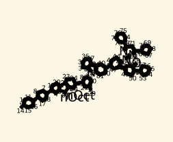 CCCCCCCCC1(CCCCCCCC)c2cc(-c3ccc(-c4ccc(C)cc4)cc3)ccc2-c2ccc(-c3cc(C)cc(-n4c5ccccc5c5cc(-c6ccc7c(c6)c6ccc8c9ccccc9oc8c6n7-c6nc(-c7ccccc7)cc(-c7ccccc7)n6)ccc54)c3)cc21